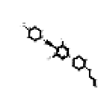 C=CCC[C@H]1CC[C@H](c2cc(F)c(C#C[C@H]3CC[C@H](CC)CC3)c(F)c2)CC1